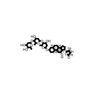 [2H]C1=C([C@H]2CC[C@]3(O)[C@@H]4CC[C@@H]5C[C@@H](OC6CC(O)C(OC7CC(O)C(OC8CC(O)C(O)C(C)O8)C(C)O7)C(C)O6)CC[C@]5(C)[C@H]4C[C@@H](O)[C@]23C)OC(=O)C1([2H])[2H]